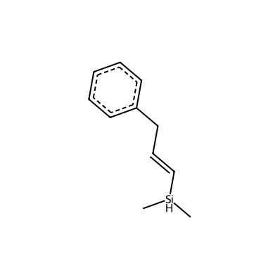 C[SiH](C)C=CCc1ccccc1